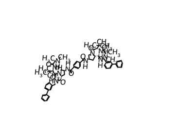 CN[C@@H](C)C(=O)N[C@H](C(=O)N1C[C@@H](NC(=O)c2ccc(C(=O)N[C@H]3C[C@@H](C(=O)NCc4cccc(-c5ccccc5)c4)N(C(=O)[C@@H](NC(=O)[C@H](C)NC)C(C)(C)C)C3)cc2)C[C@H]1CNCc1cccc(-c2ccccc2)c1)C(C)(C)C